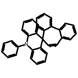 c1ccc(N2c3ccccc3C3(c4ccccc4-c4ccccc4-c4ccccc43)c3ccccc32)cc1